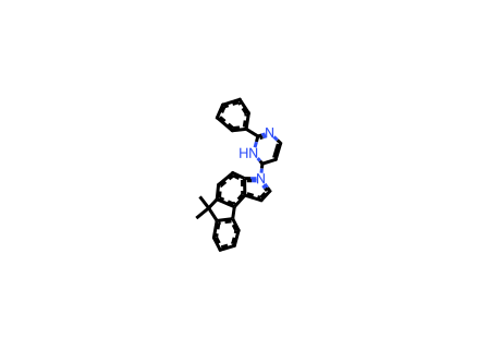 CC1(C)c2ccccc2-c2c1ccc1c2ccn1C1C=CN=C(c2ccccc2)N1